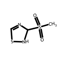 CS(=O)(=O)[C]1N=CSN1